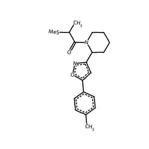 CSC(C)C(=O)N1CCCCC1c1cc(-c2ccc(C)cc2)on1